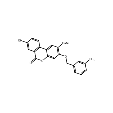 CCc1ccc2c(c1)c(=O)oc1cc(OCc3cccc(C)c3)c(OC)cc12